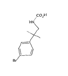 CC(C)(CNC(=O)O)c1ccc(Br)cc1